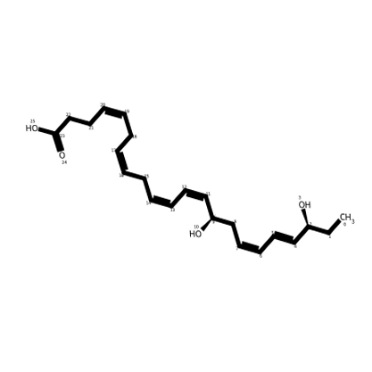 CC[C@H](O)/C=C/C=C\C[C@@H](O)/C=C\C=C/C/C=C\C/C=C\CCC(=O)O